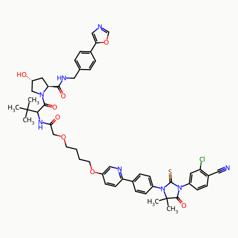 CC(C)(C)C(NC(=O)COCCCCOc1ccc(-c2ccc(N3C(=S)N(c4ccc(C#N)c(Cl)c4)C(=O)C3(C)C)cc2)nc1)C(=O)N1C[C@H](O)C[C@H]1C(=O)NCc1ccc(-c2cnco2)cc1